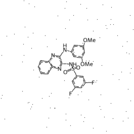 COc1cc(Nc2nc3ccccc3nc2NS(=O)(=O)c2cc(F)cc(F)c2)cc(OC)c1